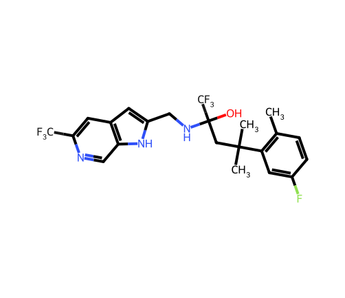 Cc1ccc(F)cc1C(C)(C)CC(O)(NCc1cc2cc(C(F)(F)F)ncc2[nH]1)C(F)(F)F